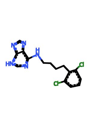 Clc1cccc(Cl)c1CCCCNc1nc[nH]c2ncnc1-2